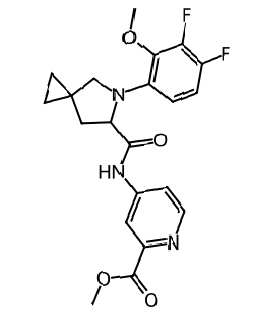 COC(=O)c1cc(NC(=O)C2CC3(CC3)CN2c2ccc(F)c(F)c2OC)ccn1